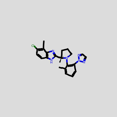 Cc1cc[c]c(-n2nccn2)c1N1CCC[C@@]1(C)c1nc2c(C)c(Cl)ccc2[nH]1